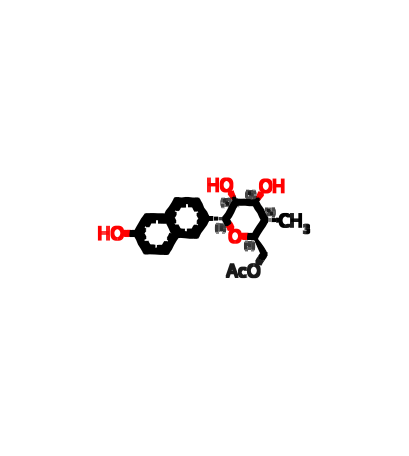 CC(=O)OC[C@H]1O[C@H](c2ccc3cc(O)ccc3c2)[C@@H](O)[C@@H](O)[C@@H]1C